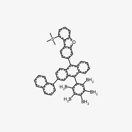 Bc1c(B)c(B)c(-c2c3ccccc3c(-c3ccc4c(c3)oc3cccc(S(C)(C)C)c34)c3ccc(-c4cccc5ccccc45)cc23)c(B)c1B